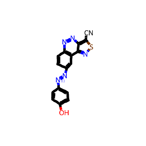 N#Cc1snc2c1nnc1ccc(/N=N/c3ccc(O)cc3)cc12